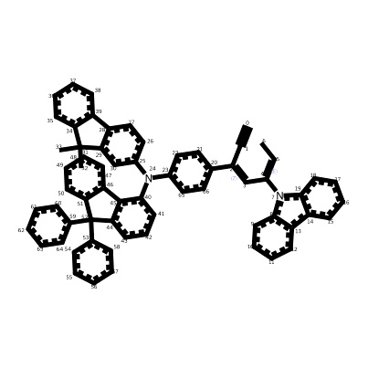 C#C/C(=C\C(=C/C)n1c2ccccc2c2ccccc21)c1ccc(N(c2ccc3c(c2)C(C)(C)c2ccccc2-3)c2cccc3c2-c2ccccc2C3(c2ccccc2)c2ccccc2)cc1